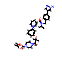 CC(C)N(Cc1ccc(-c2cn[nH]c2)cc1)C(=O)[C@@H]1CCCN(c2cccc(OC(C)(C)C(=O)N3CCN(C(=O)OC(C)(C)C)CC3)c2)C1